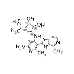 Cc1nc(N)nc(N[C@@H]2C[C@H](C(C)C)[C@@H](O)[C@H]2O)c1-c1nc2c(C)nccc2s1